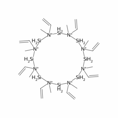 C=C[N+]1(C)[SiH2][N+](C)(C=C)[SiH2][N+](C)(C=C)[SiH2][N+](C)(C=C)[SiH2][N+](C)(C=C)[SiH2][N+](C)(C=C)[SiH2][N+](C)(C=C)[SiH2][N+](C)(C=C)[SiH2]1